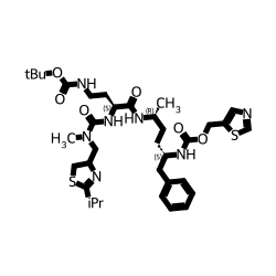 CC(C)C1=NC(CN(C)C(=O)N[C@@H](CCNC(=O)OC(C)(C)C)C(=O)N[C@H](C)CC[C@@H](Cc2ccccc2)NC(=O)OCc2cncs2)CS1